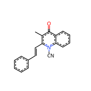 Cc1c(/C=C/c2ccccc2)n(C#N)c2ccccc2c1=O